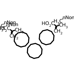 C1CCCCCCCCC1.C1CCCCCCCCC1.C1CCCCCCCCC1.C=C(C)C(=O)O.C=C(C)C(=O)O.CCCCCCCCCC.CCCCCCCCCC.CCCCCCCCCC